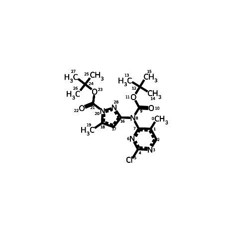 Cc1cnc(Cl)nc1N(C(=O)OC(C)(C)C)c1cc(C)n(C(=O)OC(C)(C)C)n1